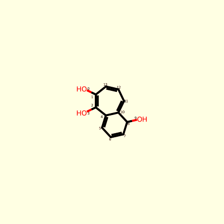 OC1=C(O)C2=CC=CC(O)C2=CC=C1